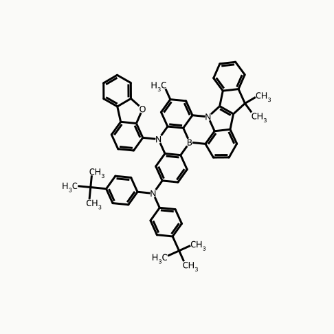 Cc1cc2c3c(c1)-n1c4c(c5cccc(c51)B3c1ccc(N(c3ccc(C(C)(C)C)cc3)c3ccc(C(C)(C)C)cc3)cc1N2c1cccc2c1oc1ccccc12)C(C)(C)c1ccccc1-4